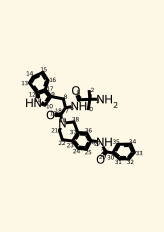 CC(C)(N)C(=O)NC(Cc1c[nH]c2ccccc12)C(=O)N1CCc2ccc(NC(=O)c3ccccc3)cc2C1